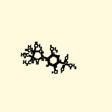 Cc1cc(S(C)(=O)=O)c(Cl)cc1B1OC(C)(C)C(C)(C)O1